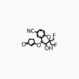 N#Cc1ccc2c(c1)[C@@H](OC1=CC(=O)CC1)[C@H](O)C(CF)(CF)O2